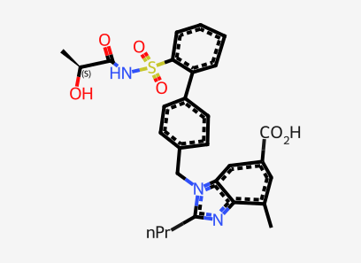 CCCc1nc2c(C)cc(C(=O)O)cc2n1Cc1ccc(-c2ccccc2S(=O)(=O)NC(=O)[C@H](C)O)cc1